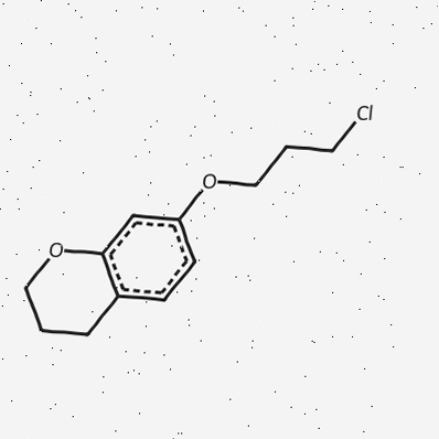 ClCCCOc1ccc2c(c1)OCCC2